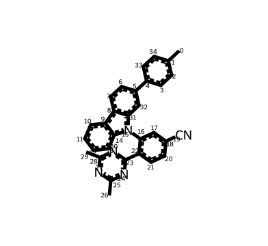 Cc1ccc(-c2ccc3c4ccccc4n(-c4cc(C#N)ccc4-c4nc(C)nc(C)n4)c3c2)cc1